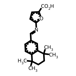 CC1(C)CCC(C)(C)c2cc(C=Nc3ccc(C(=O)O)o3)ccc21